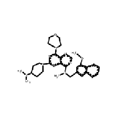 COc1cc(CN(C)c2ncnc3c(N4CCOCC4)nc(N4CCC(N(C)C)CC4)nc23)cc2ccccc12